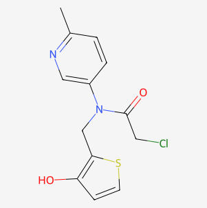 Cc1ccc(N(Cc2sccc2O)C(=O)CCl)cn1